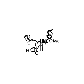 COc1cc2nc(C)ccc2cc1-c1cnc([C@H](CCCCCC(=O)c2ncco2)NC(=O)CN2CCNCC2=O)[nH]1